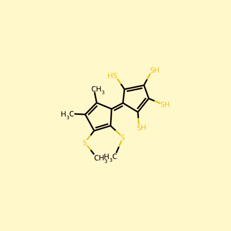 CSC1=C(SC)C(=C2C(S)=C(S)C(S)=C2S)C(C)=C1C